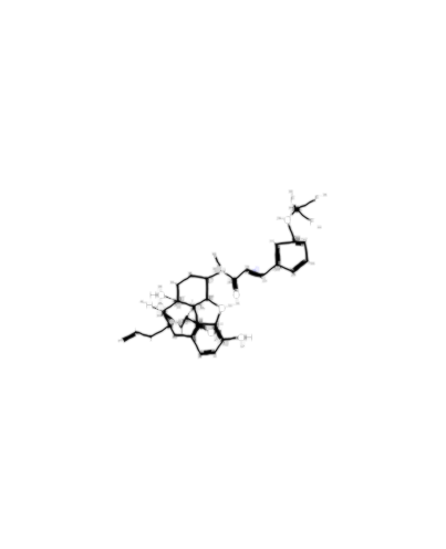 C=CCN1CC(O)[C@]23c4c5ccc(O)c4OC2C(N(C)C(=O)/C=C/c2cccc(OC(F)(F)F)c2)CC[C@@]3(O)[C@H]1C5